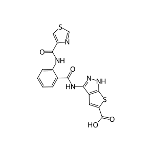 O=C(Nc1ccccc1C(=O)Nc1n[nH]c2sc(C(=O)O)cc12)c1cscn1